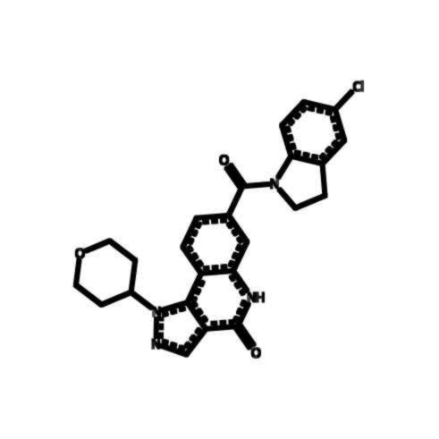 O=C(c1ccc2c(c1)[nH]c(=O)c1cnn(C3CCOCC3)c12)N1CCc2cc(Cl)ccc21